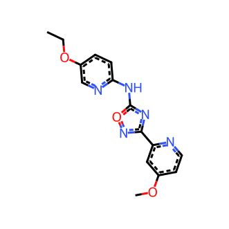 CCOc1ccc(Nc2nc(-c3cc(OC)ccn3)no2)nc1